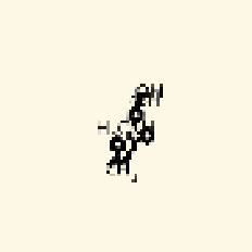 C/C=C(\C=C/C/C=C(\C=C(\C)Nc1ccc(OBO)cc1)c1ccccc1)c1ccccc1